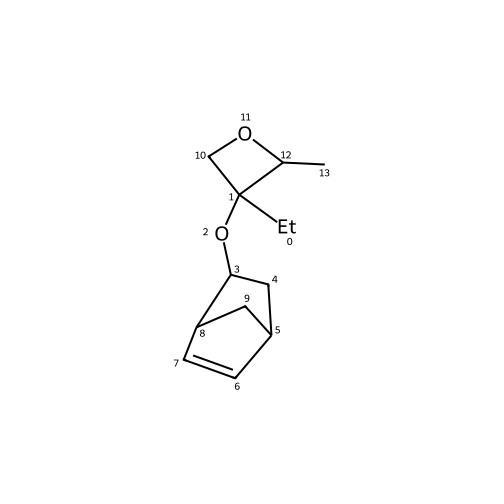 CCC1(OC2CC3C=CC2C3)COC1C